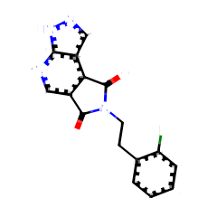 O=C1c2cnc3[nH]ncc3c2C(=O)N1CCc1ccccc1F